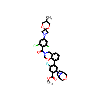 COC(=O)c1cc(F)c(-c2cccc3c2OCN(C(=O)c2c(Cl)cc(N4CC5(C4)OCC(C)CO5)cc2Cl)C3)cc1N1C2CCC1COC2